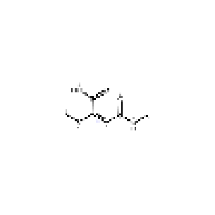 CNC(=O)/C=C(/SC)C(=O)O